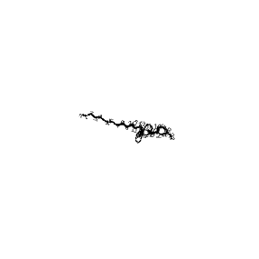 CCCCCCCCCCCCCC(=O)OCc1cccc(CC)c1